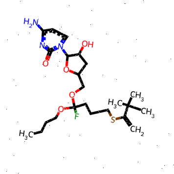 C=C(SCCCC(F)(OCCCC)OCC1CC(O)C(n2ccc(N)nc2=O)O1)C(C)(C)C